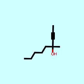 CC#CC(C)(O)CCCCC